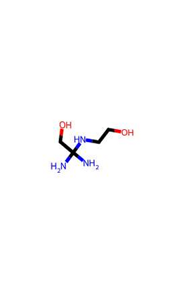 NC(N)(CO)NCCO